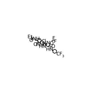 CCC(=O)NCc1ccc(Cl)c(Nc2nc3nc(OCC(F)F)c(C(=O)N[C@H]4CC[C@H](C(F)(F)F)CC4)cc3[nH]2)c1Cl